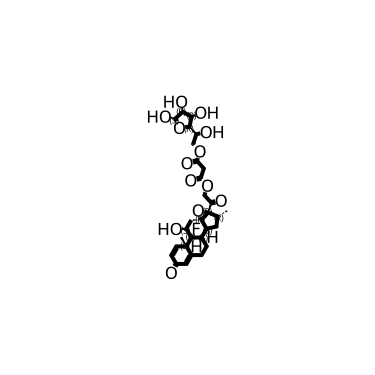 C[C@@H]1C[C@H]2[C@@H]3CCC4=CC(=O)C=C[C@]4(C)[C@@]3(F)[C@@H](O)C[C@@]23O[C@]13C(=O)COC(=O)CC(=O)OCC(O)[C@H]1O[C@H](O)[C@H](O)[C@H]1O